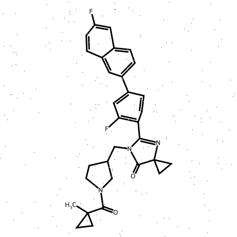 CC1(C(=O)N2CCC(CN3C(=O)C4(CC4)N=C3c3ccc(-c4ccc5cc(F)ccc5c4)cc3F)C2)CC1